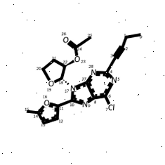 CCC#Cc1nc(Cl)c2nc(-c3ccc(C)o3)n([C@@H]3OCC[C@H]3OC(C)=O)c2n1